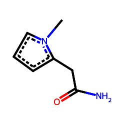 Cn1cccc1CC(N)=O